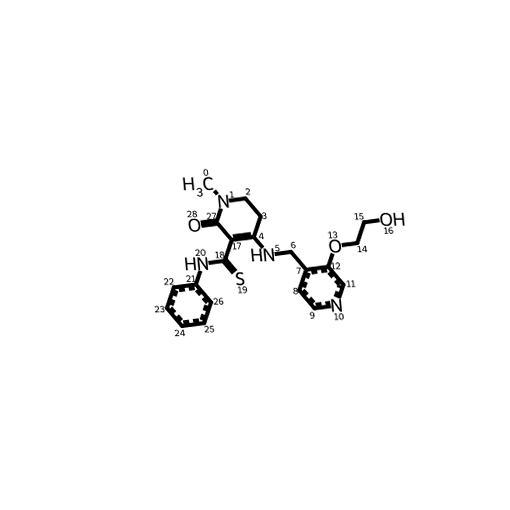 CN1CCC(NCc2ccncc2OCCO)=C(C(=S)Nc2ccccc2)C1=O